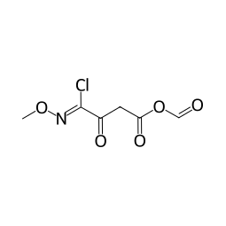 CON=C(Cl)C(=O)CC(=O)OC=O